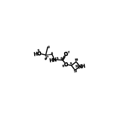 CC(C)(O)CNC(=O)OC1CNC1